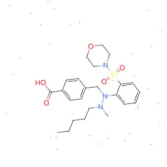 CCCCCN(C)N(Cc1ccc(C(=O)O)cc1)c1ccccc1S(=O)(=O)N1CCOCC1